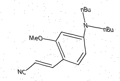 CCCCN(CCCC)c1ccc(C=CC#N)c(OC)c1